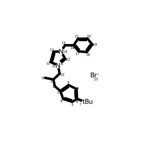 CC(Cc1ccc(C(C)(C)C)cc1)C[n+]1ccn(Cc2ccccc2)c1.[Br-]